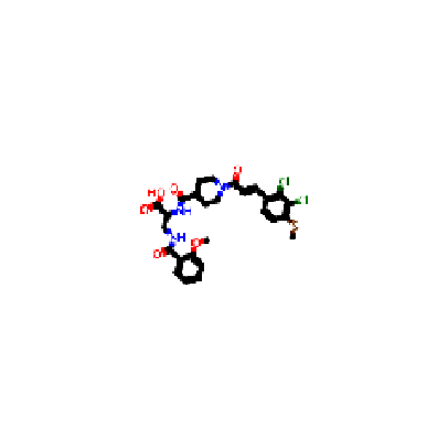 COc1ccccc1C(=O)NCC(NC(=O)C1CCN(C(=O)C=Cc2ccc(SC)c(Cl)c2Cl)CC1)C(=O)O